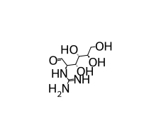 N=C(N)N[C@@H](C=O)[C@@H](O)[C@H](O)[C@H](O)CO